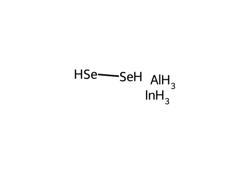 [AlH3].[InH3].[SeH][SeH]